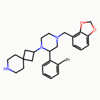 CC(C)c1ccccc1C1CN(Cc2cccc3c2OCO3)CCN1C1CC2(CCNCC2)C1